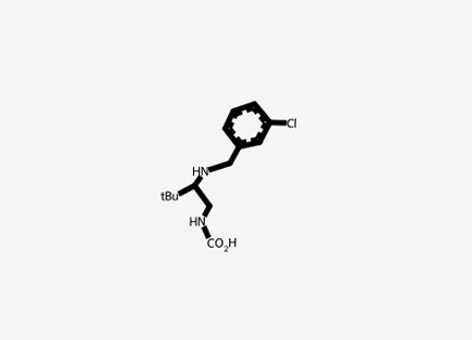 CC(C)(C)C(CNC(=O)O)NCc1cccc(Cl)c1